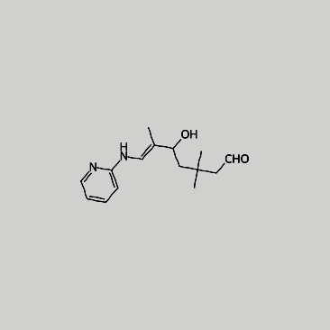 C/C(=C\Nc1ccccn1)C(O)CC(C)(C)CC=O